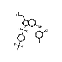 CNCc1cn(S(=O)(=O)c2ccc(C(F)(F)F)cc2)c2cc(Nc3ccc(C)cc3Cl)ccc12